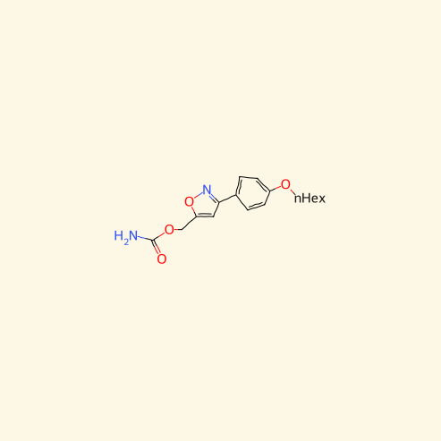 CCCCCCOc1ccc(-c2cc(COC(N)=O)on2)cc1